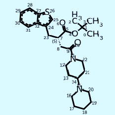 CC(C)(C)OC(=O)[C@H](CC(=O)N1CCC(N2CCCCC2)CC1)Cc1csc2ccccc12